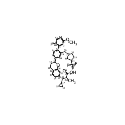 COc1cc(-c2ccc(C3CCc4ccc([C@H](C5CC5)[C@H](C)C(=O)O)cc4O3)cc2CN2CCC(C(F)(F)F)C2)c(F)cn1